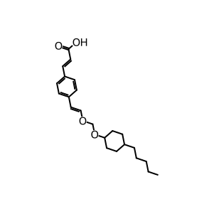 CCCCCC1CCC(OCOC=Cc2ccc(C=CC(=O)O)cc2)CC1